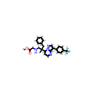 COC(=O)CNCC(C)(Cc1ccccc1)c1ccnc2c(-c3ccc(C(F)(F)F)cc3)cnn12